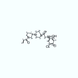 C=CC(=O)N1CCCC(N2CCN(C(=O)CNc3cc(Cl)c(Cl)cc3O)CC2)C1